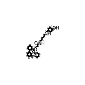 O=C(CCOC(=O)N(c1c(F)cccc1-c1ccccc1)N1CC[CH]CC1)NCCCCCNCc1ccc(O)cc1